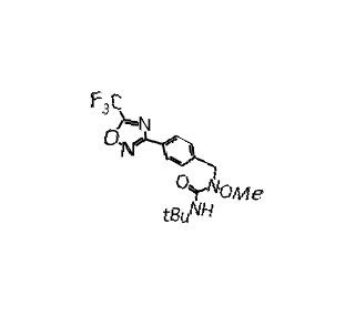 CON(Cc1ccc(-c2noc(C(F)(F)F)n2)cc1)C(=O)NC(C)(C)C